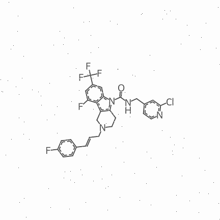 O=C(NCc1ccnc(Cl)c1)n1c2c(c3c(F)cc(C(F)(F)F)cc31)CN(C/C=C/c1ccc(F)cc1)CC2